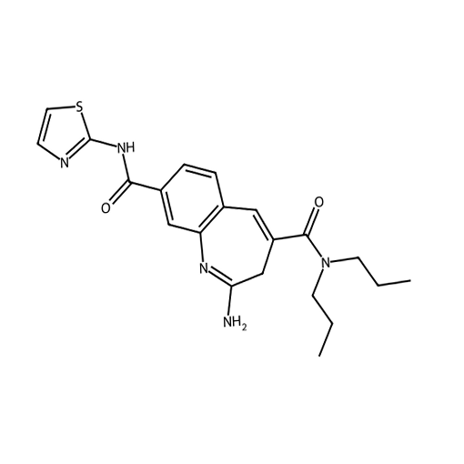 CCCN(CCC)C(=O)C1=Cc2ccc(C(=O)Nc3nccs3)cc2N=C(N)C1